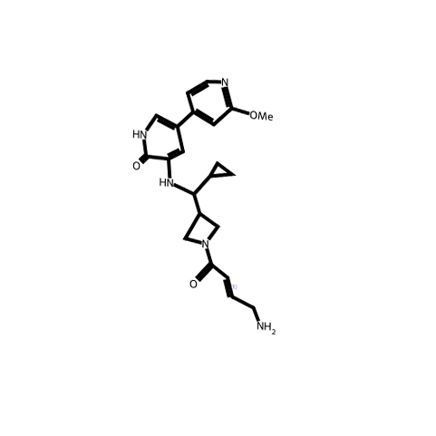 COc1cc(-c2c[nH]c(=O)c(NC(C3CC3)C3CN(C(=O)/C=C/CN)C3)c2)ccn1